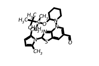 Cc1ccc(C)n1C1N=C2C(=CC(C=O)=CN2N2CCCCC2O[Si](C)(C)C(C)(C)C)S1